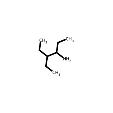 CC[C](CC)C(N)CC